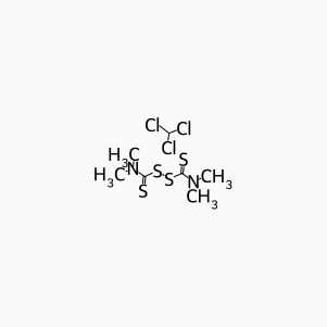 CN(C)C(=S)SSC(=S)N(C)C.ClC(Cl)Cl